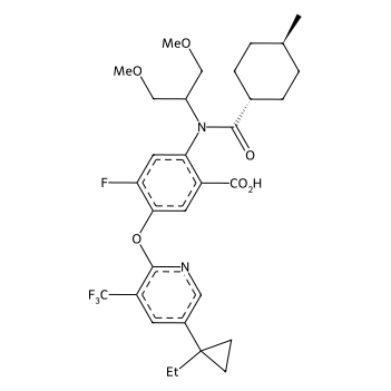 CCC1(c2cnc(Oc3cc(C(=O)O)c(N(C(=O)[C@H]4CC[C@H](C)CC4)C(COC)COC)cc3F)c(C(F)(F)F)c2)CC1